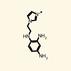 C[n+]1ccn(CCNc2ccc(N)cc2N)c1